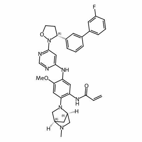 C=CC(=O)Nc1cc(Nc2cc(N3OCC[C@@H]3c3cccc(-c4cccc(F)c4)c3)ncn2)c(OC)cc1N1C[C@H]2C[C@@H]1CN2C